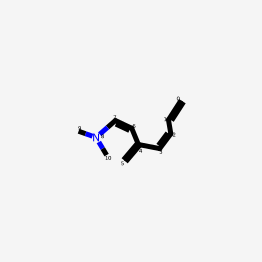 C=C/C=C\C(=C)/C=C\N(C)C